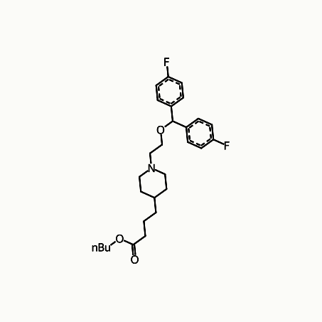 CCCCOC(=O)CCCC1CCN(CCOC(c2ccc(F)cc2)c2ccc(F)cc2)CC1